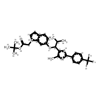 Cc1nc(-c2ccc(C(F)(F)F)cc2)sc1C(Oc1ccc2ccn(CC(=O)OC(C)(C)C)c2c1)C(C)C